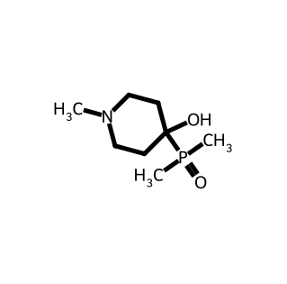 CN1CCC(O)(P(C)(C)=O)CC1